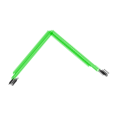 Cl.Cl.Cl.Cl.Cl.Cl.Cl.Cl.Cl.Cl.Cl.Cl.Cl.Cl.Cl.Cl.Cl.Cl.Cl.Cl.Cl.Cl.Cl.Cl.Cl.Cl.Cl.Cl.Cl.Cl.Cl.Cl.Cl.Cl.Cl.Cl.Cl.Cl.Cl.Cl.Cl.Cl.Cl.Cl.Cl.Cl.Cl.Cl.Cl.Cl.Cl.Cl.Cl.Cl.Cl.Cl.Cl.Cl.Cl.Cl.Cl.Cl.Cl.Cl.Cl.Cl.Cl.Cl.Cl.Cl.Cl.Cl.Cl.Cl.Cl.Cl.Cl.Cl.Cl.Cl.[Ag+].[Ag+].[Ag+].[Ag+].[Ag+].[Ag+].[Ag+].[Ag+].[Ag+].[Ag+].[Cl-].[Cl-].[Cl-].[Cl-].[Cl-].[Cl-].[Cl-].[Cl-].[Cl-].[Cl-]